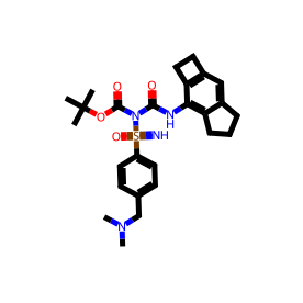 CN(C)Cc1ccc(S(=N)(=O)N(C(=O)Nc2c3c(cc4c2CC4)CCC3)C(=O)OC(C)(C)C)cc1